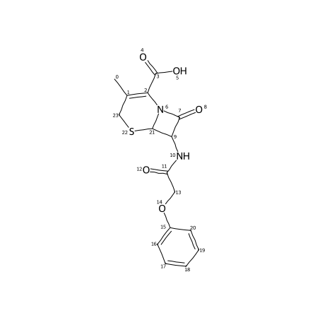 CC1=C(C(=O)O)N2C(=O)C(NC(=O)COc3ccccc3)C2SC1